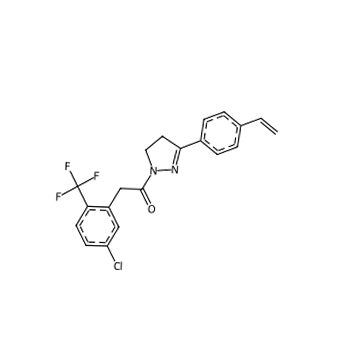 C=Cc1ccc(C2=NN(C(=O)Cc3cc(Cl)ccc3C(F)(F)F)CC2)cc1